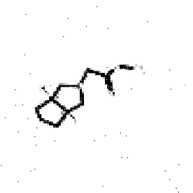 COC(=O)CN1C[C@H]2CCC[C@H]2C1